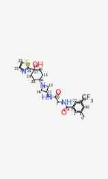 Cc1cc(C(=O)NCC(=O)NC2CN([C@H]3CC[C@@](O)(c4nccs4)CC3)C2)cc(C(F)(F)F)c1